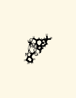 CC1=CC23CCC4C(C(C=C5COC(C)(C)OC5C2(O)C1OC(=O)c1c2ccccc2nn1C)C3=O)C4(C)C